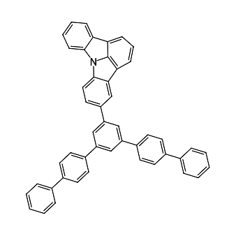 c1ccc(-c2ccc(-c3cc(-c4ccc(-c5ccccc5)cc4)cc(-c4ccc5c(c4)c4cccc6c7ccccc7n5c64)c3)cc2)cc1